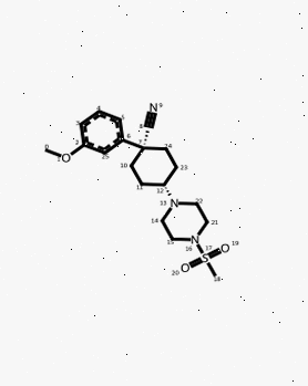 COc1cccc([C@]2(C#N)CC[C@@H](N3CCN(S(C)(=O)=O)CC3)CC2)c1